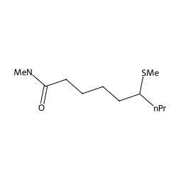 CCCC(CCCCC(=O)NC)SC